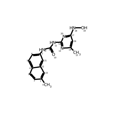 Cc1ccc2ccc(NC(=O)Nc3nc(C)cc(NO)n3)cc2c1